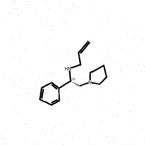 C=CCN[C@H](CN1CCCC1)c1ccccc1